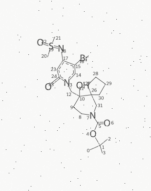 CC(C)(C)OC(=O)N1CCC(O)(Cn2cc(Br)c(N=S(C)(C)=O)cc2=O)C2(CCCC2)C1